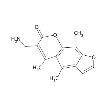 Cc1c2occc2c(C)c2c(C)c(CN)c(=O)oc12